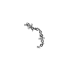 N#Cc1ccc(O[C@H]2CC[C@H](NC(=O)c3ccc(N4CCC(CN5CCC6(CC5)CN(c5cc7c(cc5F)C(=O)N(C5CCONO5)C7=O)C6)CC4)nn3)CC2)cc1